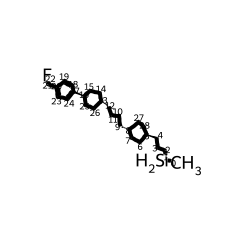 C[SiH2]CCC[C@H]1CC[C@H](CCCC[C@H]2CC[C@H](c3ccc(CF)cc3)CC2)CC1